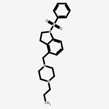 CCCN1CCN(Cc2cccc3c2CCN3S(=O)(=O)c2ccccc2)CC1